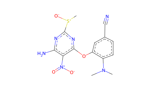 CN(C)c1ccc(C#N)cc1Oc1nc([S+](C)[O-])nc(N)c1[N+](=O)[O-]